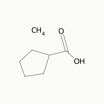 C.O=C(O)C1CCCC1